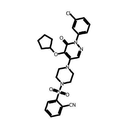 N#Cc1ccccc1S(=O)(=O)N1CCN(c2cnn(-c3cccc(Cl)c3)c(=O)c2OC2CCCC2)CC1